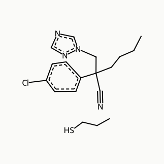 CCCCC(C#N)(Cn1cncn1)c1ccc(Cl)cc1.CCCS